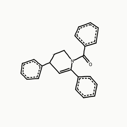 O=C(c1ccccc1)N1C[CH]C(c2ccccc2)C=C1c1ccccc1